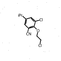 CC(C)c1cc(Cl)c(OCCCl)c(C#N)c1